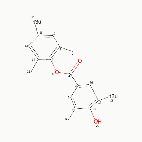 Cc1cc(C(=O)Oc2c(C)cc(C(C)(C)C)cc2C)cc(C(C)(C)C)c1O